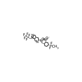 CC(F)(F)c1ccc(/C=N/c2cc3cnn(CC(F)(F)C(F)(F)F)c3cn2)c([N+](=O)[O-])c1